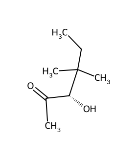 CCC(C)(C)[C@H](O)C(C)=O